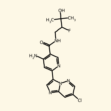 CC(C)(O)C(F)CNC(=O)c1cnc(-c2cnc3cc(Cl)cnn23)cc1N